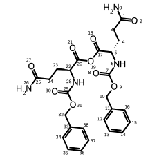 NC(=O)CC[C@H](NC(=O)OCc1ccccc1)C(=O)OC(=O)[C@H](CCC(N)=O)NC(=O)OCc1ccccc1